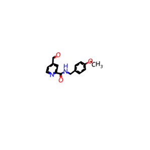 COc1ccc(CNC(=O)c2cc(C=O)ccn2)cc1